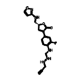 C#CCNNCNc1ccc(N2C[C@H](CNc3ccon3)OC2=O)cc1F